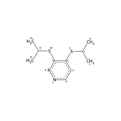 CC(C)Sc1ccnnc1SC(C)C